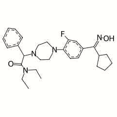 CCN(CC)C(=O)C(c1ccccc1)N1CCN(c2ccc(/C(=N/O)C3CCCC3)cc2F)CC1